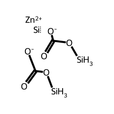 O=C([O-])O[SiH3].O=C([O-])O[SiH3].[Si].[Zn+2]